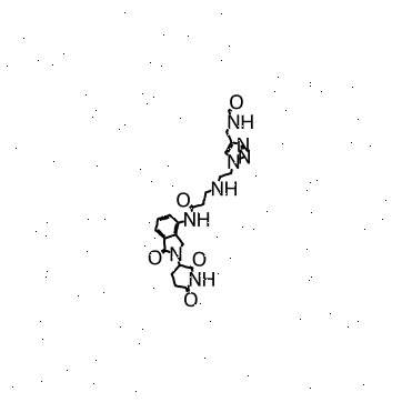 O=CNCc1cn(CCNCCC(=O)Nc2cccc3c2CN(C2CCC(=O)NC2=O)C3=O)nn1